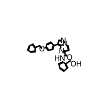 O=C(Nc1ccccc1CO)c1ccn2ncc(-c3ccc(OCc4ccccc4)cc3)c2n1